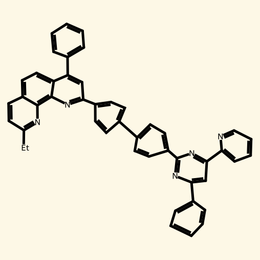 CCc1ccc2ccc3c(-c4ccccc4)cc(-c4ccc(-c5ccc(-c6nc(-c7ccccc7)cc(-c7ccccn7)n6)cc5)cc4)nc3c2n1